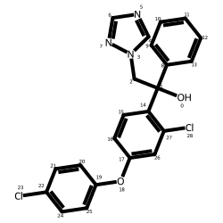 OC(Cn1cncn1)(c1ccccc1)c1ccc(Oc2ccc(Cl)cc2)cc1Cl